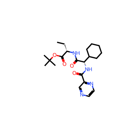 CC[C@H](NC(=O)[C@@H](NC(=O)c1cnccn1)C1CCCCC1)C(=O)OC(C)(C)C